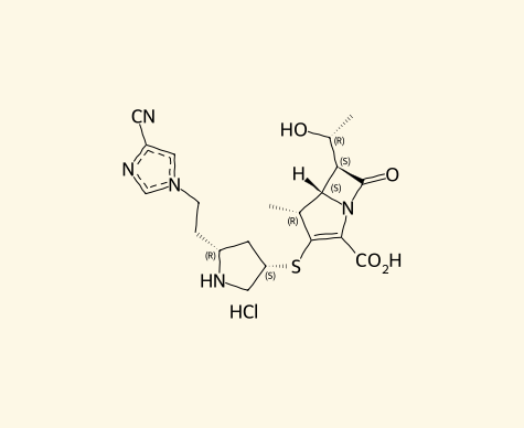 C[C@@H](O)[C@H]1C(=O)N2C(C(=O)O)=C(S[C@@H]3CN[C@H](CCn4cnc(C#N)c4)C3)[C@H](C)[C@H]12.Cl